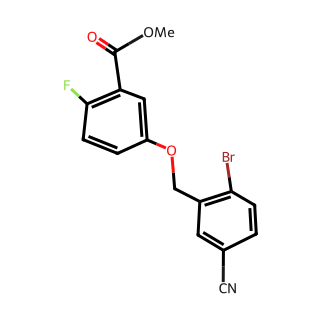 COC(=O)c1cc(OCc2cc(C#N)ccc2Br)ccc1F